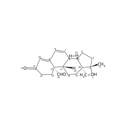 C[C@]1(O)CC[C@H]2[C@@H]3C=CC4=CC(=O)CC[C@]4(C=O)[C@H]3CC[C@@]21C